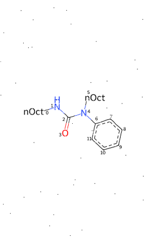 CCCCCCCCNC(=O)N(CCCCCCCC)c1ccccc1